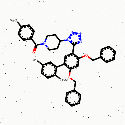 COc1ccc(C(=O)N2CCC(n3nnnc3-c3cc(-c4cc(C(C)C)ccc4OC)c(OCc4ccccc4)cc3OCc3ccccc3)CC2)cc1